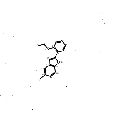 CCSc1cnccc1-c1cc2cc(C)ccc2o1